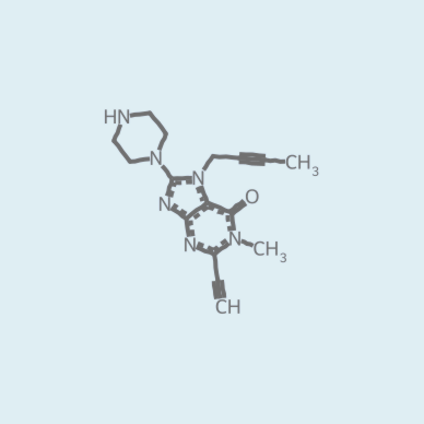 C#Cc1nc2nc(N3CCNCC3)n(CC#CC)c2c(=O)n1C